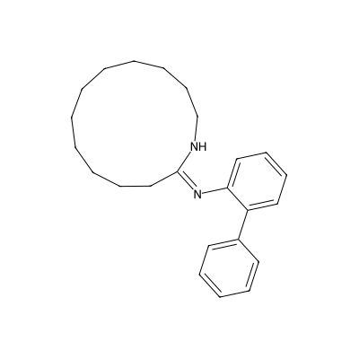 c1ccc(-c2ccccc2/N=C2/CCCCCCCCCCCN2)cc1